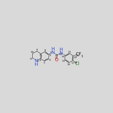 O=C(Nc1ccc2c(c1)CCCN2)Nc1ccc(Cl)c(C(F)(F)F)c1